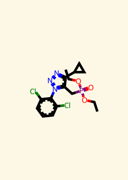 CCOP(=O)(Cc1c(C2CC2)nnn1-c1c(Cl)cccc1Cl)OCC